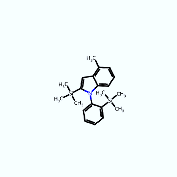 Cc1cccc2c1cc([Si](C)(C)C)n2-c1ccccc1[Si](C)(C)C